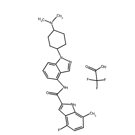 Cc1ccc(F)c2cc(C(=O)Nc3cccc4c3cnn4C3CCC(N(C)C)CC3)[nH]c12.O=C(O)C(F)(F)F